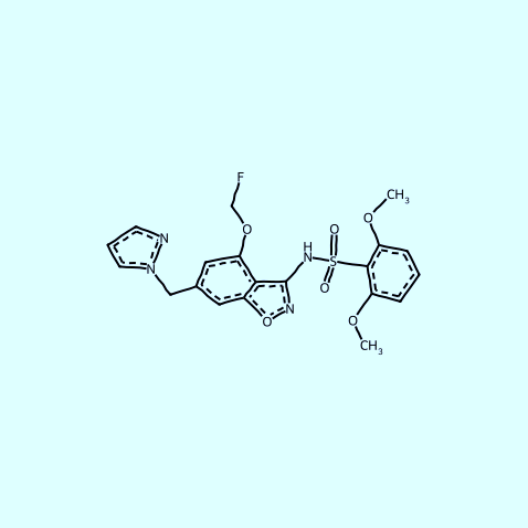 COc1cccc(OC)c1S(=O)(=O)Nc1noc2cc(Cn3cccn3)cc(OCF)c12